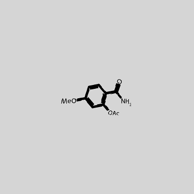 COc1ccc(C(N)=O)c(OC(C)=O)c1